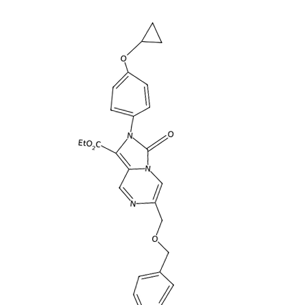 CCOC(=O)c1c2cnc(COCc3ccccc3)cn2c(=O)n1-c1ccc(OC2CC2)cc1